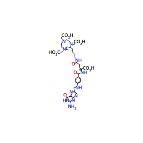 Nc1nc2ncc(CNc3ccc(C(=O)N[C@@H](CCC(=O)NCCCCC4CN(CC(=O)O)CCN(CC(=O)O)CCN4CC(=O)O)C(=O)O)cc3)nc2c(=O)[nH]1